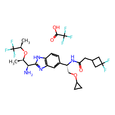 C[C@@H](O[C@H](C)C(F)(F)F)[C@H](N)c1nc2cc([C@@H](COC3CC3)NC(=O)CC3CC(F)(F)C3)ccc2[nH]1.O=C(O)C(F)(F)F